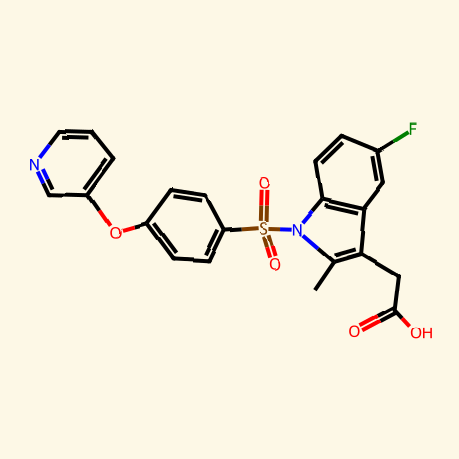 Cc1c(CC(=O)O)c2cc(F)ccc2n1S(=O)(=O)c1ccc(Oc2cccnc2)cc1